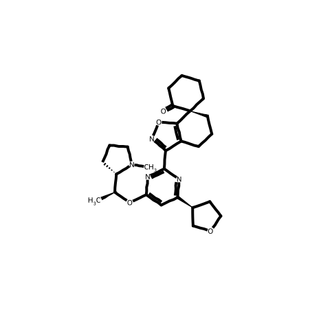 C[C@H](Oc1cc([C@H]2CCOC2)nc(-c2noc3c2CCC[C@@]32CCCCC2=O)n1)[C@@H]1CCCN1C